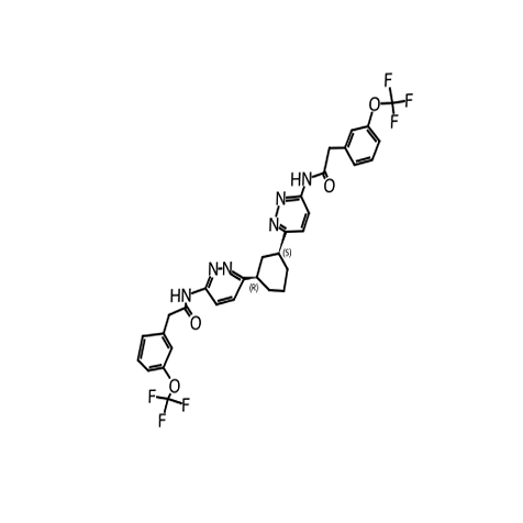 O=C(Cc1cccc(OC(F)(F)F)c1)Nc1ccc([C@@H]2CCC[C@H](c3ccc(NC(=O)Cc4cccc(OC(F)(F)F)c4)nn3)C2)nn1